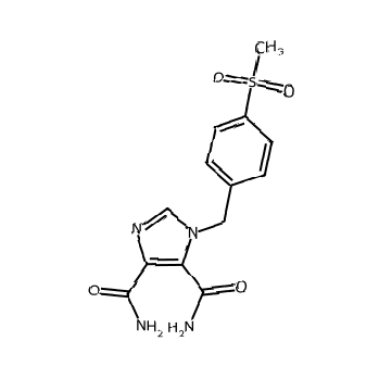 CS(=O)(=O)c1ccc(Cn2cnc(C(N)=O)c2C(N)=O)cc1